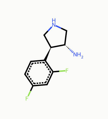 N[C@H]1CNC[C@@H]1c1ccc(F)cc1F